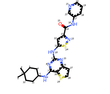 CC1(C)CCC(Nc2nc(Nc3cc(C(=O)Nc4cccnc4)ns3)nc3ccsc23)CC1